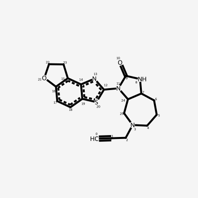 C#CCN1CCCC2NC(=O)N(c3nc4c5c(ccc4s3)OCC5)C2C1